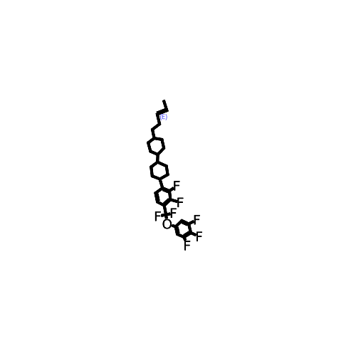 C/C=C/CCC1CCC(C2CCC(c3ccc(C(F)(F)Oc4cc(F)c(F)c(F)c4)c(F)c3F)CC2)CC1